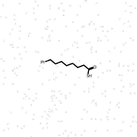 CC(C)CCCCCCCC(=O)S